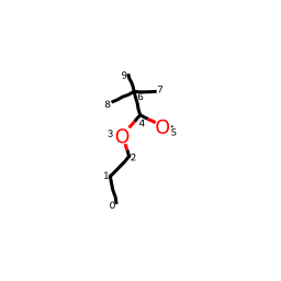 CCCOC([O])C(C)(C)C